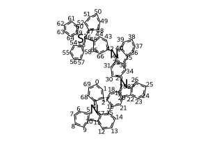 c1ccc(-n2c3ccccc3c3cccc(-c4ccc5c(c4)c4ccccc4n5-c4ccc5c(c4)c4ccccc4n5-c4ccc([Si](c5ccccc5)(c5ccccc5)c5ccccc5)cc4)c32)cc1